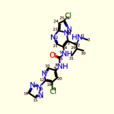 CN[C@H](c1c(NC(=O)Nc2cnc(-n3nccn3)c(Cl)c2)cnc2cc(Cl)nn12)C(C)C